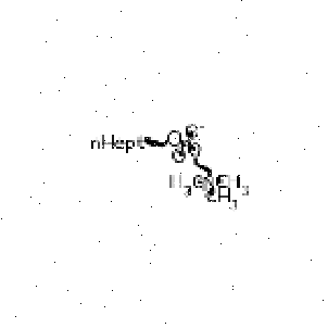 CCCCCCCC=COP(=O)([O-])OCC[N+](C)(C)C